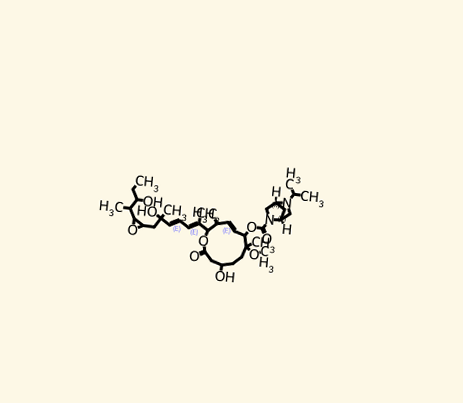 CCC(O)C(C)C1OC1CC(C)(O)/C=C/C=C(\C)C1OC(=O)CC(O)CCC(C)(OC)C(OC(=O)N2C[C@H]3C[C@@H]2CN3C(C)C)/C=C/C1C